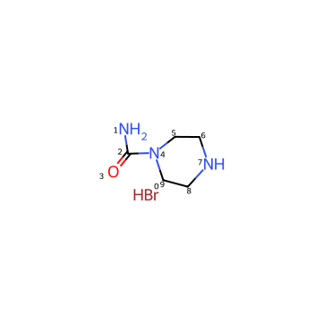 Br.NC(=O)N1CCNCC1